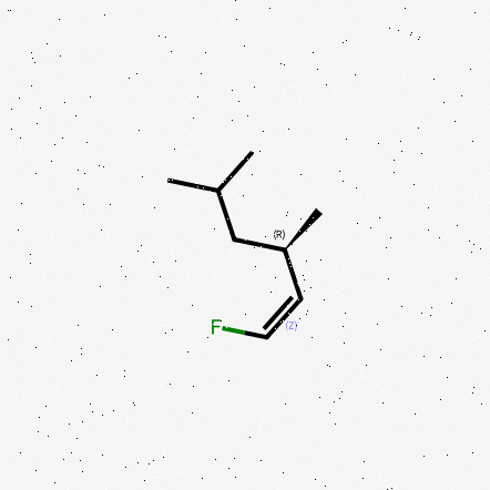 CC(C)C[C@@H](C)/C=C\F